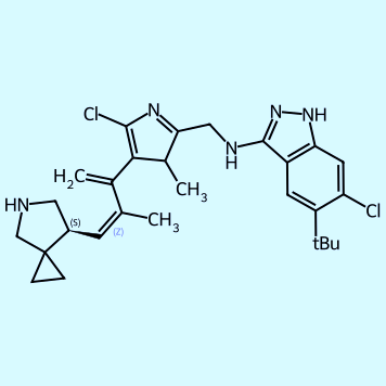 C=C(C1=C(Cl)N=C(CNc2n[nH]c3cc(Cl)c(C(C)(C)C)cc23)C1C)/C(C)=C\[C@@H]1CNCC12CC2